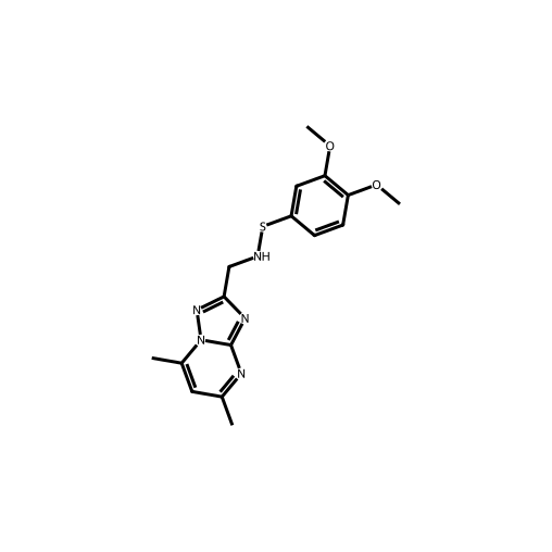 COc1ccc(SNCc2nc3nc(C)cc(C)n3n2)cc1OC